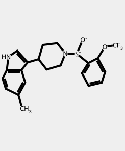 Cc1ccc2[nH]cc(C3CCN([S+]([O-])c4ccccc4OC(F)(F)F)CC3)c2c1